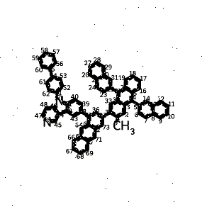 Cc1cc2c(-c3ccc4ccccc4c3)c3ccccc3c(-c3ccc4ccccc4c3)c2cc1-c1cc(-c2ccc3c(c2)c2cnccc2n3-c2ccc(-c3ccccc3)cc2)c2cc3ccccc3cc2c1